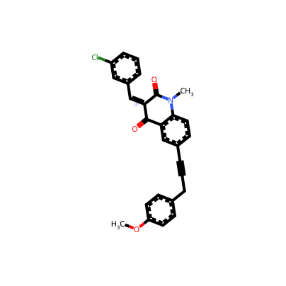 COc1ccc(CC#Cc2ccc3c(c2)C(=O)/C(=C/c2cccc(Cl)c2)C(=O)N3C)cc1